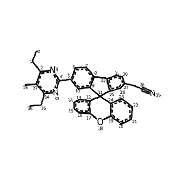 CCc1nc(-c2ccc3c(c2)C2(c4ccccc4Oc4ccccc42)c2cc(C#N)ccc2-3)nc(CC)c1C